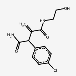 C=C(C(=O)NCCO)C(C(N)=O)c1ccc(Cl)cc1